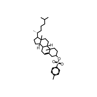 Cc1ccc(S(=O)(=O)OC2CCC3(C)C(=CCC4[C@@H]3CCC3(C)C([C@H](C)CCCC(C)C)CC[C@@H]43)C2)cc1